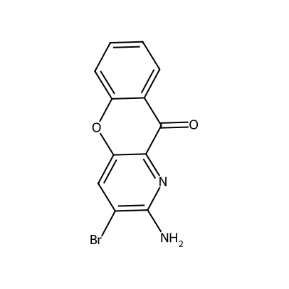 Nc1nc2c(=O)c3ccccc3oc2cc1Br